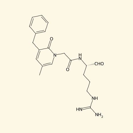 Cc1cc(Cc2ccccc2)c(=O)n(CC(=O)N[C@H](C=O)CCCNC(=N)N)c1